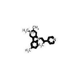 CC(=Cn1c2c(c3cc(C)ccc31)CN(C)[C@@H](C)C2)c1ccncc1